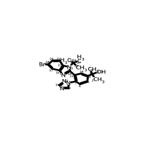 CC(C)(O)c1ccc(-n2cncn2)c(-c2nc3cc(Br)ccc3n2C(C)(C)C)c1